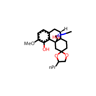 CCCC1COC2(CCC3(O)[C@H]4Cc5ccc(OC)c(O)c5[C@@]3(CCN4C)C2)O1